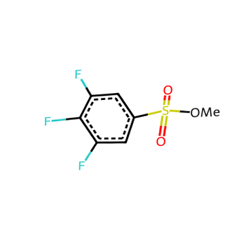 COS(=O)(=O)c1cc(F)c(F)c(F)c1